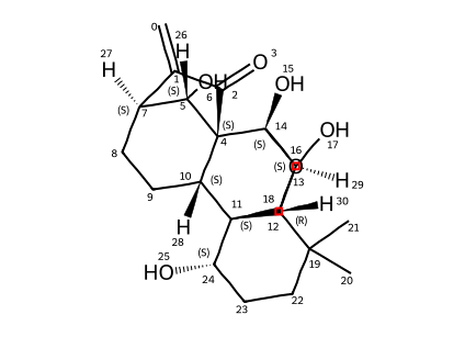 C=C1C(=O)[C@]23[C@@H](O)[C@H]1CC[C@H]2[C@@]12CO[C@]3(O)[C@@H](O)[C@@H]1C(C)(C)CC[C@@H]2O